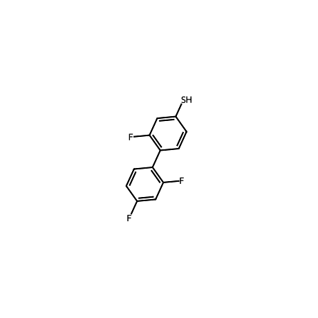 Fc1ccc(-c2ccc(S)cc2F)c(F)c1